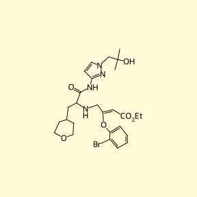 CCOC(=O)/C=C(/CNC(CC1CCOCC1)C(=O)Nc1ccn(CC(C)(C)O)n1)Oc1ccccc1Br